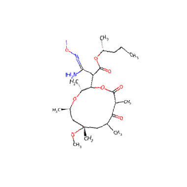 CCC[C@@H](C)OC(=O)C(/C(N)=N/OI)C1OC(=O)C(C)C(=O)C(C)C[C@](C)(OC)C[C@@H](C)O[C@@H]1C